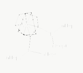 CCCCCCCP(CCCCCCC)[C]12[CH]3[CH]4[CH]5[C]1(P(CCCCCCC)CCCCCCC)[Co]43521678[CH]2[CH]1[CH]6[CH]7[CH]28